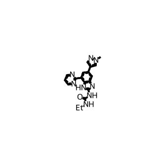 CCNC(=O)Nc1nc2cc(-c3cnn(C)c3)cc(-c3ncccn3)c2[nH]1